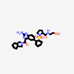 Nc1nc(C(=O)N2Cc3ccccc3C2)c2cc(-c3ccccc3S(=O)(=O)N3CCCC3C(=O)NCCO)ccc2n1